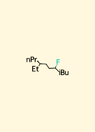 CCC[C@H](CC)CCC(F)C(C)CC